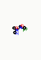 O=C(C[C@@H]1CCC(=O)N1Cc1cccc(F)c1F)NC(c1ccccc1)c1ccccc1